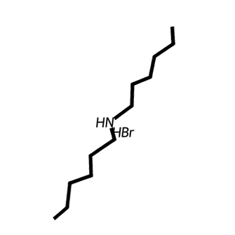 Br.CCCCCCNCCCCCC